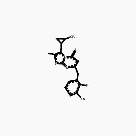 Cc1sc2nc(Cc3cccc(C#N)c3F)cc(=O)n2c1C1CC1C(F)(F)F